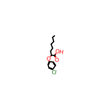 CCCCCCC(Oc1ccc(Cl)cc1)C(=O)O